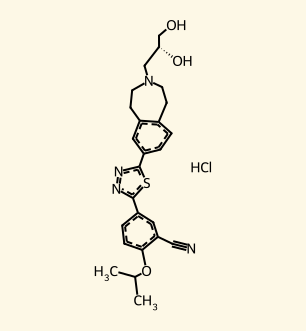 CC(C)Oc1ccc(-c2nnc(-c3ccc4c(c3)CCN(C[C@@H](O)CO)CC4)s2)cc1C#N.Cl